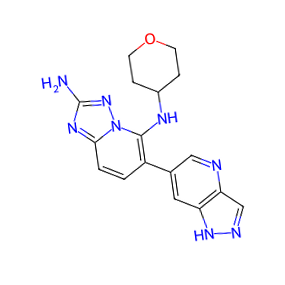 Nc1nc2ccc(-c3cnc4cn[nH]c4c3)c(NC3CCOCC3)n2n1